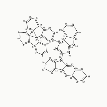 c1ccc2c(c1)-c1ccccc1C21c2ccccc2-c2ccc(-c3nc(-n4c5ccccc5c5cc6ccccc6cc54)nc4sc5ccccc5c34)cc21